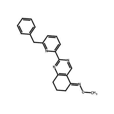 CO/N=C1\CCCc2nc(-c3cccc(Cc4ccccc4)n3)ncc21